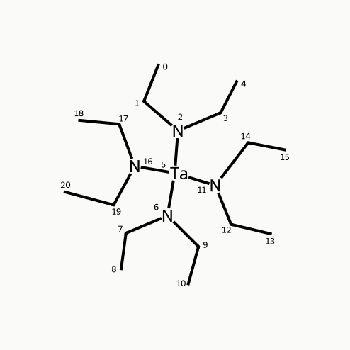 CC[N](CC)[Ta]([N](CC)CC)([N](CC)CC)[N](CC)CC